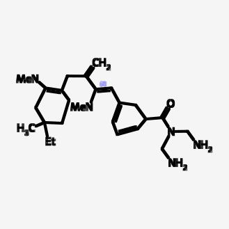 C=C(CC1=C(NC)CC(C)(CC)CC1)/C(=C/C1=CC=CC(C(=O)N(CN)CN)C1)NC